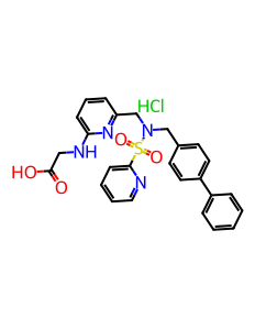 Cl.O=C(O)CNc1cccc(CN(Cc2ccc(-c3ccccc3)cc2)S(=O)(=O)c2ccccn2)n1